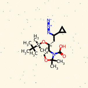 CC1(C)OC[C@H]([C@@H](CC(N=[N+]=[N-])C2CC2)O[Si](C)(C)C(C)(C)C)N1C(=O)O